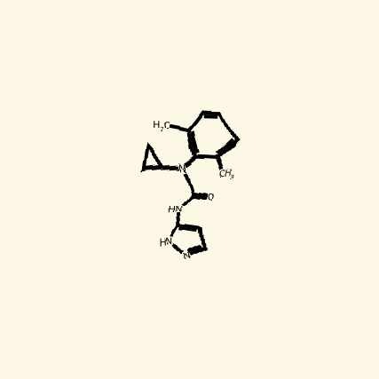 Cc1cccc(C)c1N(C(=O)Nc1ccn[nH]1)C1CC1